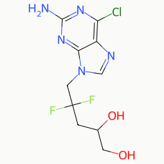 Nc1nc(Cl)c2ncn(CC(F)(F)CC(O)CO)c2n1